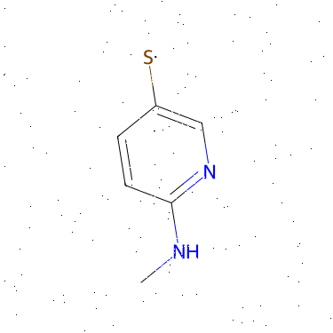 CNc1ccc([S])cn1